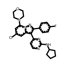 Fc1ccc(-c2nn3c(N4CCOCC4)cc(Cl)cc3c2-c2ccnc(NC3CCCC3)n2)cc1